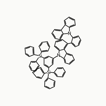 c1ccc([Si](c2ccccc2)(c2ccccc2)c2cc(-n3c4ccccc4c4c(-c5ccccc5-n5c6ccccc6c6ccccc65)cccc43)cc([Si](c3ccccc3)(c3ccccc3)c3ccccc3)c2)cc1